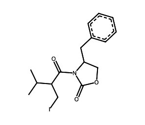 CC(C)C(CI)C(=O)N1C(=O)OCC1Cc1ccccc1